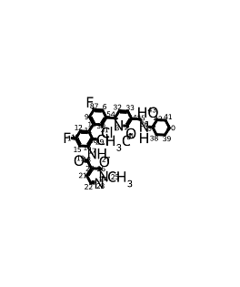 COc1nc(-c2cc(F)cc(-c3cc(F)cc(NC(=O)c4ccnn(C)c4=O)c3Cl)c2Cl)ccc1CNC1CCCCC1O